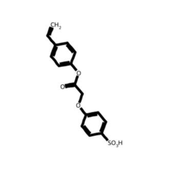 C=Cc1ccc(OC(=O)COc2ccc(S(=O)(=O)O)cc2)cc1